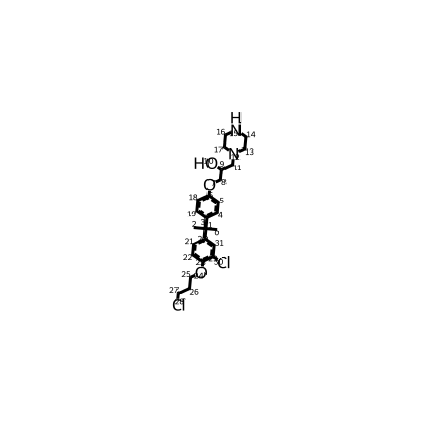 CC(C)(c1ccc(OCC(O)CN2CCNCC2)cc1)c1ccc(OCCCCl)c(Cl)c1